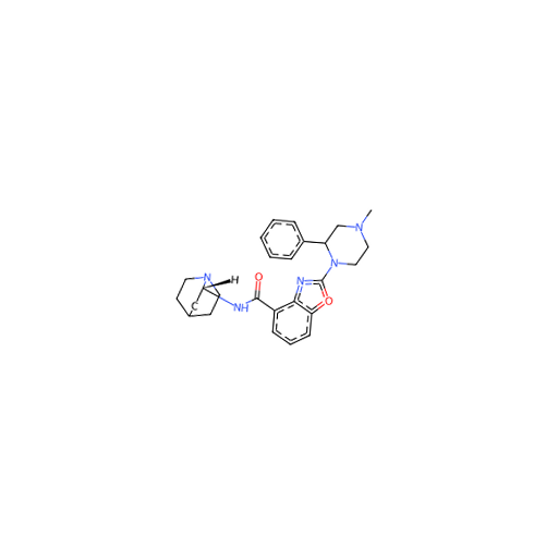 CN1CCN(c2nc3c(C(=O)N[C@@H]4CC5CCN4CC5)cccc3o2)C(c2ccccc2)C1